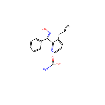 C=CCc1cccnc1C(=NO)c1ccccc1.NC(=O)O